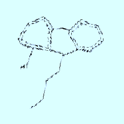 CCCCC1c2ccccc2-c2ccc[c]([Hf])c21